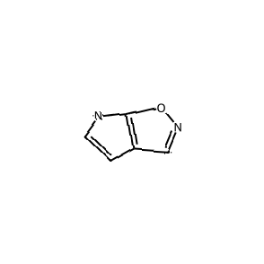 [c]1noc2c1C=C[N]2